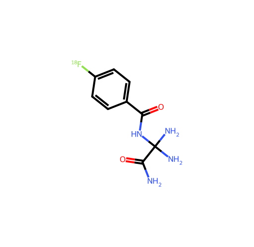 NC(=O)C(N)(N)NC(=O)c1ccc([18F])cc1